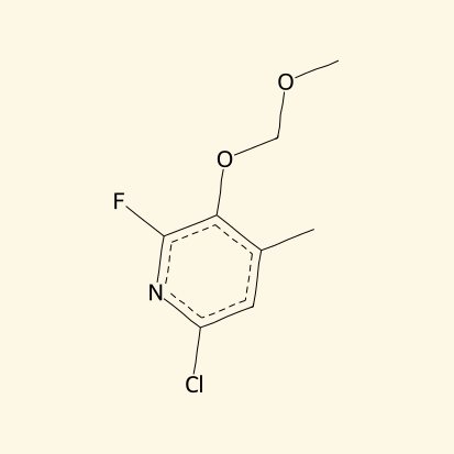 COCOc1c(C)cc(Cl)nc1F